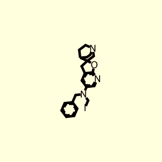 ICN(Cc1ccccc1)c1cnc2c(c1)CC1(CN3CCC1CC3)O2